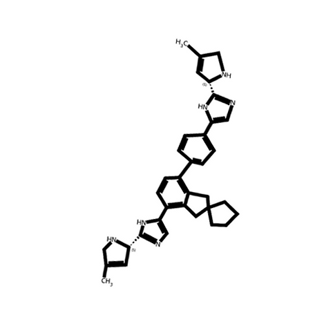 CC1=C[C@@H](c2ncc(-c3ccc(-c4ccc(-c5cnc([C@@H]6C=C(C)CN6)[nH]5)c5c4CC4(CCCC4)C5)cc3)[nH]2)NC1